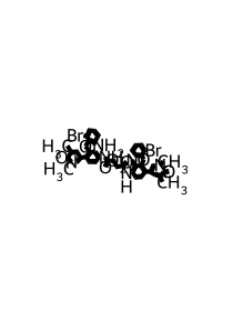 Cc1cc(-c2ccc(NC(=O)CCC(=O)Nc3ccc(-c4cc(C)c(=O)n(C)c4)c(Oc4ccccc4Br)c3[N+](=O)[O-])c(N)c2Oc2ccccc2Br)cn(C)c1=O